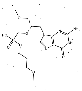 COCCCOP(=O)(O)CO[C@H](COC)Cn1cnc2c(=O)[nH]c(N)nc21